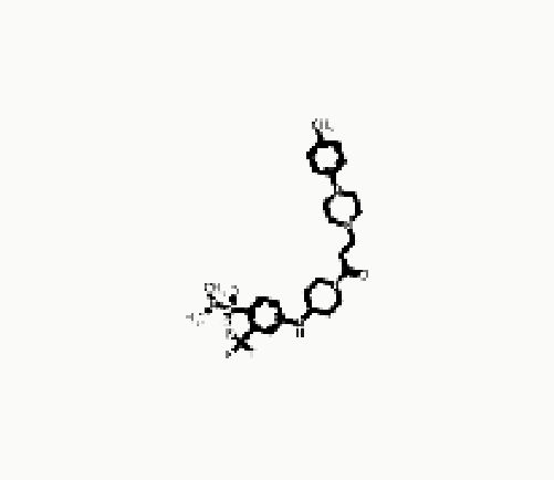 Cc1ccc(N2CCN(CCC(=O)N3CCC(Nc4ccc(S(=O)(=O)N(C)C)c(C(F)(F)F)c4)CC3)CC2)cc1